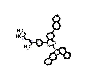 C=C/C(C#N)=C\C=C(/C)c1ccc(-c2nc(-n3c4cc5ccccc5cc4c4c5ccccc5ccc43)nc3cc(-c4ccc5ccccc5c4)ccc23)cc1